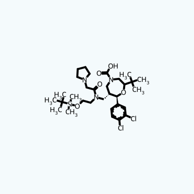 CC(C)(C)C1CN(C(=O)O)C[C@@H](CN(CCO[Si](C)(C)C(C)(C)C)C(=O)CN2CCCC2)[C@H](c2ccc(Cl)c(Cl)c2)O1